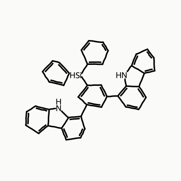 c1ccc([SiH](c2ccccc2)c2cc(-c3cccc4c3[nH]c3ccccc34)cc(-c3cccc4c3[nH]c3ccccc34)c2)cc1